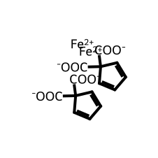 O=C([O-])C1(C(=O)[O-])C=CC=C1.O=C([O-])C1(C(=O)[O-])C=CC=C1.[Fe+2].[Fe+2]